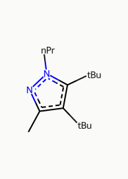 CCCn1nc(C)c(C(C)(C)C)c1C(C)(C)C